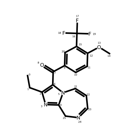 CCc1nc2n(c1C(=O)c1ccc(OC)c(C(F)(F)F)c1)C=CC=NC2